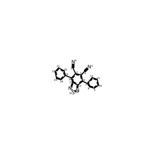 N#Cc1c(C#N)c(-c2ccccc2)c2nsnc2c1-c1ccccc1